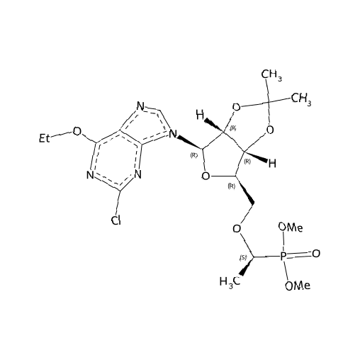 CCOc1nc(Cl)nc2c1ncn2[C@@H]1O[C@H](CO[C@H](C)P(=O)(OC)OC)[C@H]2OC(C)(C)O[C@H]21